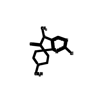 CN1C(=O)C2(CCN(C(=O)O)CC2)c2nc(Cl)ncc21